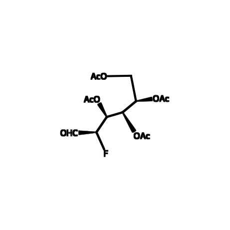 CC(=O)OC[C@@H](OC(C)=O)[C@@H](OC(C)=O)[C@H](OC(C)=O)[C@@H](F)C=O